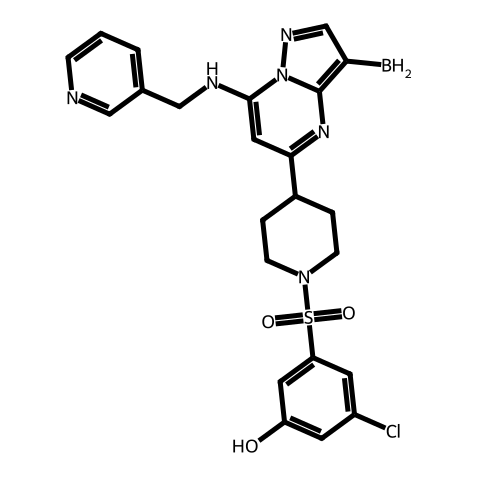 Bc1cnn2c(NCc3cccnc3)cc(C3CCN(S(=O)(=O)c4cc(O)cc(Cl)c4)CC3)nc12